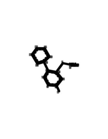 CNCc1cc(C)ccc1-c1ccccc1